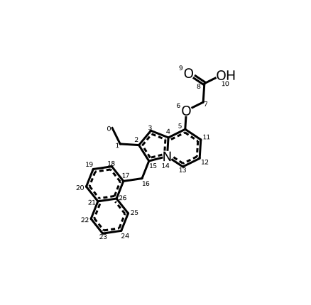 CCc1cc2c(OCC(=O)O)cccn2c1Cc1cccc2ccccc12